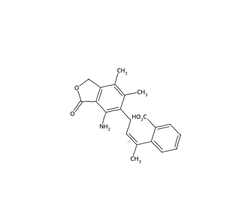 C/C(=C/Cc1c(C)c(C)c2c(c1N)C(=O)OC2)c1ccccc1C(=O)O